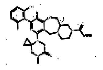 C=CC(=O)N1CCN2Cc3c(N4CC(=O)N(C)CC45CC5)nc(-c4c(O)cccc4F)c(Cl)c3OC[C@H]2C1